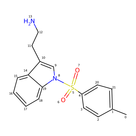 Cc1ccc(S(=O)(=O)n2cc(CCN)c3ccccc32)cc1